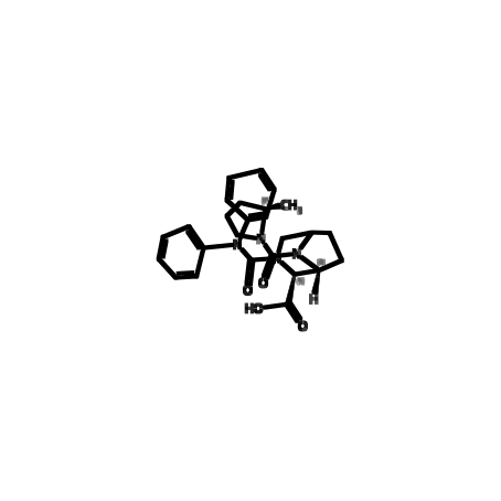 C[C@@H]1CCCN1C(=O)N1C2CC[C@@H]1[C@@H](C(=O)O)N(C(=O)N(c1ccccc1)c1ccccc1)C2